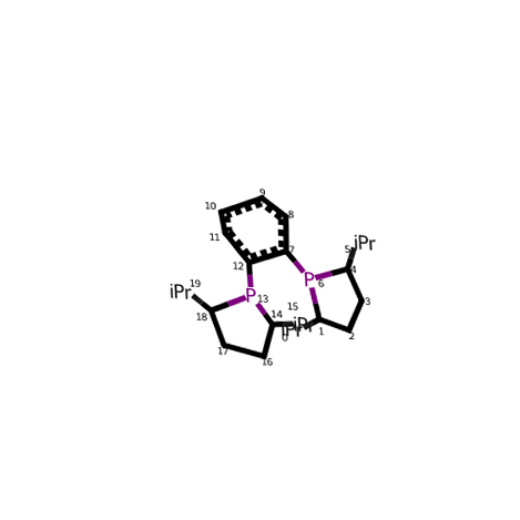 CC(C)C1CCC(C(C)C)P1c1ccccc1P1C(C(C)C)CCC1C(C)C